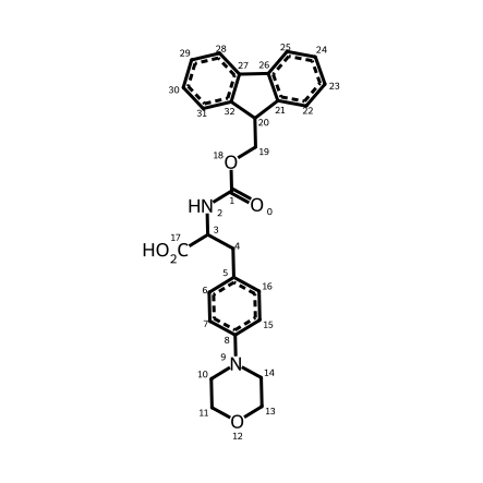 O=C(NC(Cc1ccc(N2CCOCC2)cc1)C(=O)O)OCC1c2ccccc2-c2ccccc21